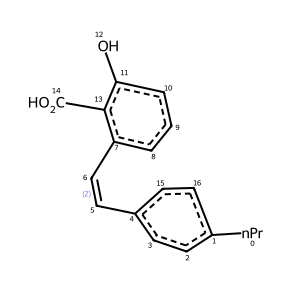 CCCc1ccc(/C=C\c2cccc(O)c2C(=O)O)cc1